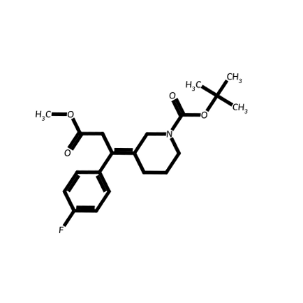 COC(=O)CC(=C1CCCN(C(=O)OC(C)(C)C)C1)c1ccc(F)cc1